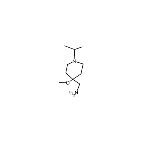 COC1(CN)CCN(C(C)C)CC1